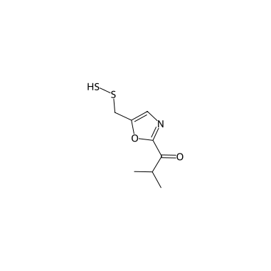 CC(C)C(=O)c1ncc(CSS)o1